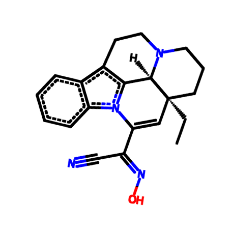 CC[C@@]12C=C(/C(C#N)=N/O)n3c4c(c5ccccc53)CCN(CCC1)[C@H]42